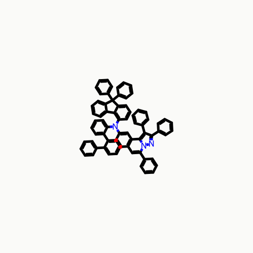 c1ccc(-c2ccccc2-c2ccccc2N(c2ccc3cc(-c4ccccc4)n4nc(-c5ccccc5)c(-c5ccccc5)c4c3c2)c2cccc3c2-c2ccccc2C3(c2ccccc2)c2ccccc2)cc1